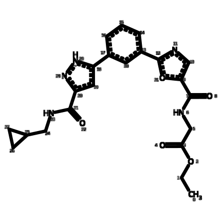 CCOC(=O)CNC(=O)c1cnc(-c2cccc(-c3cc(C(=O)NCC4CC4)n[nH]3)c2)o1